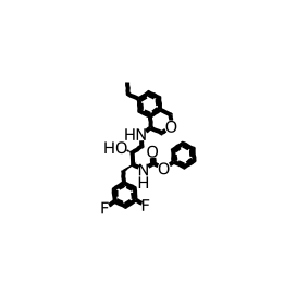 CCc1ccc2c(c1)C(NC[C@@H](O)[C@H](Cc1cc(F)cc(F)c1)NC(=O)Oc1ccccc1)COC2